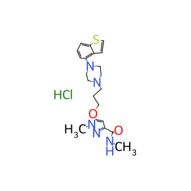 CNC(=O)c1cc(OCCCN2CCN(c3cccc4sccc34)CC2)n(C)n1.Cl